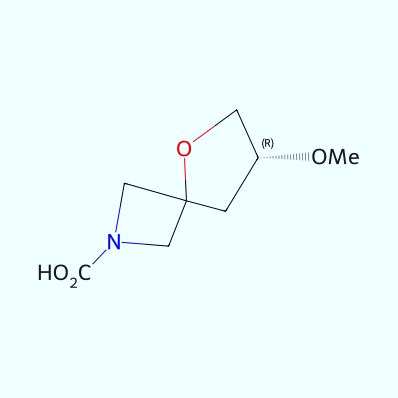 CO[C@H]1COC2(C1)CN(C(=O)O)C2